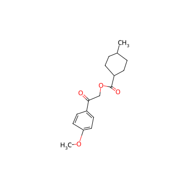 COc1ccc(C(=O)COC(=O)C2CCC(C)CC2)cc1